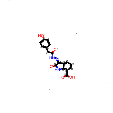 O=C(Cc1ccc(O)cc1)N/N=C1\C(=O)Nc2c(C(=O)O)cccc21